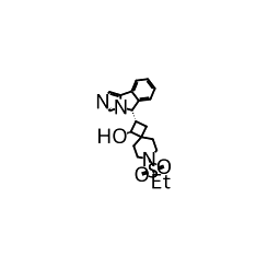 CCS(=O)(=O)N1CCC2(CC1)C[C@@H](C1c3ccccc3-c3cncn31)[C@@H]2O